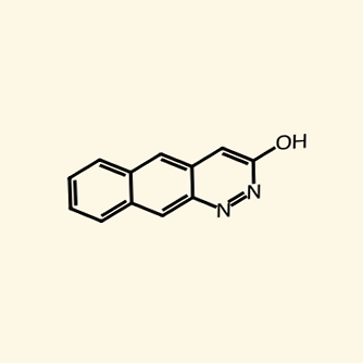 Oc1cc2cc3ccccc3cc2nn1